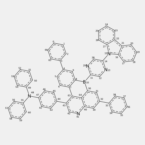 c1ccc(-c2ccc3c(c2)B(c2cnc(-n4c5ccccc5c5ccccc54)cn2)c2cc(-c4ccccc4)cc4ncc(-c5ccc(N(c6ccccc6)c6ccccc6)cc5)c-3c24)cc1